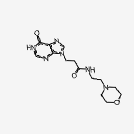 O=C(CCn1cnc2c(=O)[nH]cnc21)NCCN1CCOCC1